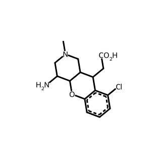 CN1CC(N)C2Oc3cccc(Cl)c3C(CC(=O)O)C2C1